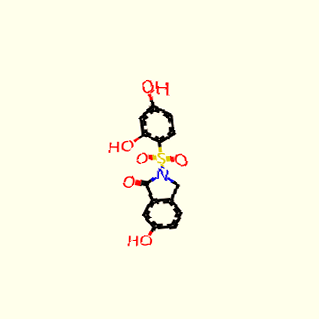 O=C1c2cc(O)ccc2CN1S(=O)(=O)c1ccc(O)cc1O